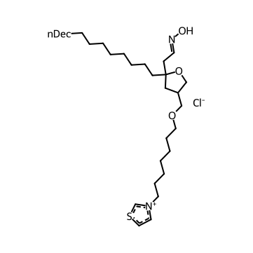 CCCCCCCCCCCCCCCCCCC1(CC=NO)CC(COCCCCCCC[n+]2ccsc2)CO1.[Cl-]